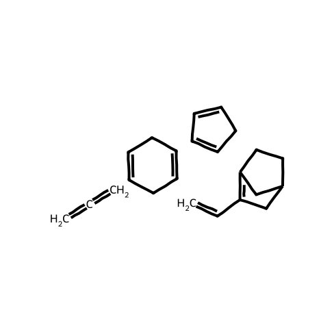 C1=CCC=C1.C1=CCC=CC1.C=C=C.C=CC1=C2CCC(C1)C2